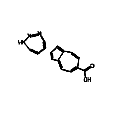 C1=CN=NNC=C1.O=C(O)c1ccc2cccc-2cc1